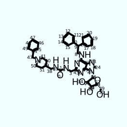 O=C(NCc1nc(NCC(c2ccccc2)c2ccccc2)c2ncn([C@@H]3O[C@H](CO)[C@@H](O)[C@H]3O)c2n1)NCC1CCN(Cc2ccccc2)CC1